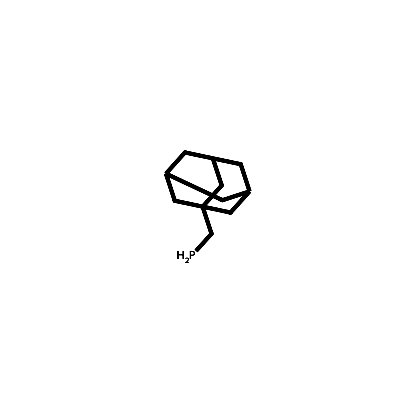 PCC12CC3CC(CC(C3)C1)C2